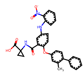 Cc1cc(Oc2ccc(Nc3ccccc3[N+](=O)[O-])cc2C(=O)NC2(C(=O)O)CC2)ccc1-c1ccccc1